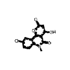 Cn1c(=O)c2c(O)cc(=O)oc2c2cc(Cl)ccc21